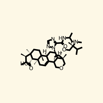 CN[C@@](C)(CO[C@H]1[C@H](n2ncnc2C(=O)NC(C)C)C[C@@]23COC[C@]1(C)[C@@H]2CC[C@H]1C3=CC[C@@]2(C)[C@H](C(=O)O)[C@@](C)([C@H](C)C(C)C)CC[C@]12C)C(C)C